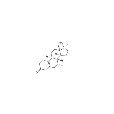 C[C@@H]1CC2=C(CCC(=O)C2)[C@H]2CC[C@@]3(C)[C@@H](CC[C@]3(C)O)[C@H]12